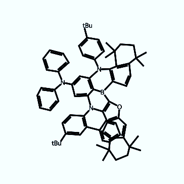 CC(C)(C)c1ccc(N2c3cc(N(c4ccccc4)c4ccccc4)cc4c3B(c3ccc5c(c32)C(C)(C)CCC5(C)C)c2oc3cc5c(cc3c2N4c2ccc(C(C)(C)C)cc2-c2ccccc2)C(C)(C)CCC5(C)C)cc1